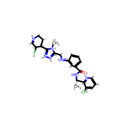 C[C@H](NC(=O)c1cccc(NCc2nnc(C3CCN=CC3F)n2C)c1)c1ncccc1Cl